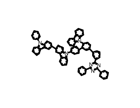 c1ccc(-c2nc(-c3ccccc3)nc(-c3cccc(-c4ccc(-n5c6ccccc6c6ccccc65)c(-c5ccc(-n6c7ccccc7c7cc(-c8ccc9c(c8)c8ccccc8n9-c8ccccc8)ccc76)cc5)c4)c3)n2)cc1